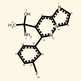 CC(N)(O)c1cc2nccn2nc1-c1cccc(F)c1